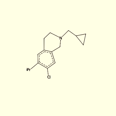 CC(C)c1cc2c(cc1Cl)CN(CC1CC1)CC2